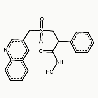 O=C(NO)C(CS(=O)(=O)Cc1cnc2ccccc2c1)c1ccccc1